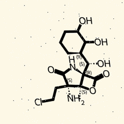 C[C@@]12OC(=O)[C@]1([C@@H](O)[C@H]1CCCC(O)C1O)NC(=O)[C@]2(N)CCCl